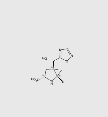 Cl.O=C(O)[C@@H]1C[C@]2(Cc3ncno3)C[C@@H]2N1